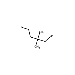 CC(C)CC(C)(C)CCI